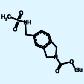 CC(C)(C)OC(=O)N1Cc2ccc(CNS(C)(=O)=O)cc2C1